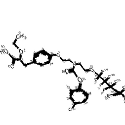 CCOC(Cc1ccc(OCCN(CCOC(F)(F)C(F)(F)C(F)(F)C(F)(F)F)C(=O)Oc2ccc(Cl)cc2)cc1)C(=O)O